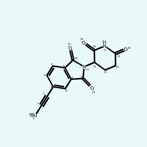 CC(C)(C)C#Cc1ccc2c(c1)C(=O)N(C1CCC(=O)NC1=O)C2=O